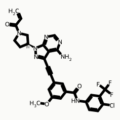 C=CC(=O)N1CC[C@H](n2nc(C#Cc3cc(OC)cc(C(=O)Nc4ccc(Cl)c(C(F)(F)F)c4)c3)c3c(N)ncnc32)C1